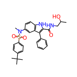 CC(O)CNC(=O)c1[nH]c2ccc(N(C)S(=O)(=O)c3ccc(C(C)(C)C)cc3)cc2c1-c1ccccc1